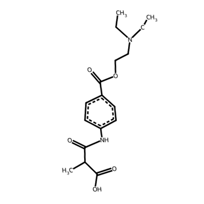 CCN(CC)CCOC(=O)c1ccc(NC(=O)C(C)C(=O)O)cc1